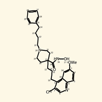 COc1ccc2ncc(Cl)c(CCCC3(C(=O)NO)CCN(CCCCc4ccccc4)CC3)c2c1